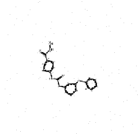 O=C(Cc1cccc(Oc2ccccc2)c1)Nc1ccc(C(=O)NO)cc1